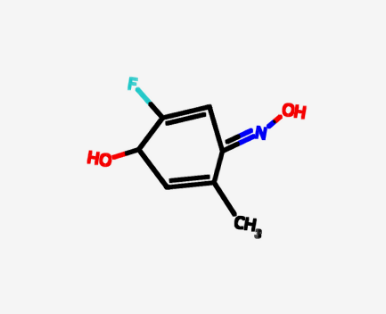 CC1=CC(O)C(F)=CC1=NO